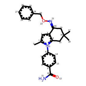 Cc1cc2c(n1-c1ccc(C(N)=O)cc1)CC(C)(C)C/C2=N/OCc1ccccc1